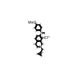 COc1ccc(N(C)c2ccc3c(c2)CN(CC2CC2)CC3)cc1.Cl